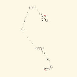 CC(C)CC(C(=O)NC(C(=O)NCCCn1cc(COCCC(=O)NCCC(=O)NC(CO)COP(=O)(O)OCCOCCOCCOCCOCCOCCOP(=O)(O)OCCOCCOCCOCCOCCOCCOP(=O)(O)OCOP(=O)(O)OCCCCCCNC(=O)c2ccc3c(c2)C2(OC3=O)c3ccc(O)cc3Oc3cc(O)ccc32)nn1)C(C)(C)C)C(O)C(=O)NO